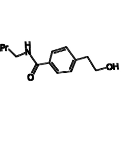 CC(C)CNC(=O)c1ccc(CCO)cc1